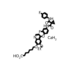 CCOc1cc2c(Oc3ccc(NC(=O)C4(C(=O)Nc5ccc(F)cc5)CC4)cc3F)ccnc2cc1OCCCCCCC(=O)O.[CaH2]